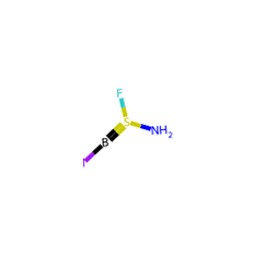 NS(F)=BI